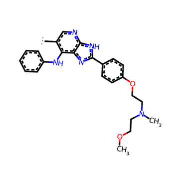 [C]c1cnc2[nH]c(-c3ccc(OCCN(C)CCOC)cc3)nc2c1Nc1ccccc1